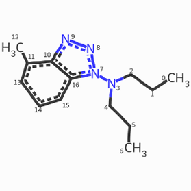 CCCN(CCC)n1nnc2c(C)cccc21